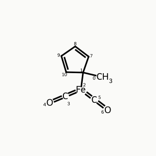 C[C]1([Fe](=[C]=O)=[C]=O)C=CC=C1